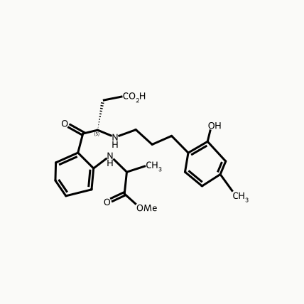 COC(=O)C(C)Nc1ccccc1C(=O)[C@H](CC(=O)O)NCCCc1ccc(C)cc1O